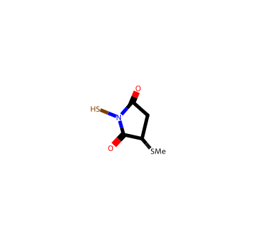 CSC1CC(=O)N(S)C1=O